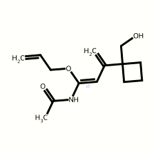 C=CCO/C(=C\C(=C)C1(CO)CCC1)NC(C)=O